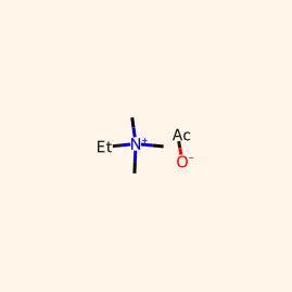 CC(=O)[O-].CC[N+](C)(C)C